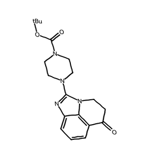 CC(C)(C)OC(=O)N1CCN(c2nc3cccc4c3n2CCC4=O)CC1